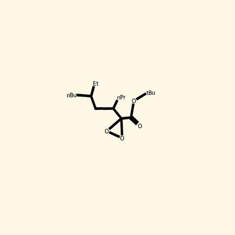 CCCCC(CC)CC(CCC)C1(C(=O)OC(C)(C)C)OO1